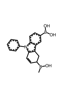 CB(O)C1C=Cc2c(c3cc(B(O)O)ccc3n2-c2ccccc2)C1